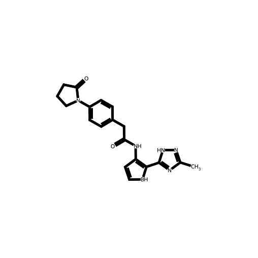 Cc1n[nH]c(C2=C(NC(=O)Cc3ccc(N4CCCC4=O)cc3)C=CB2)n1